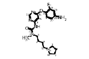 CN(CCCCN1CCCC1)C(=O)Nc1cc(Oc2ccc(N)cc2F)ncn1